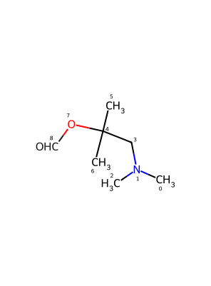 CN(C)CC(C)(C)OC=O